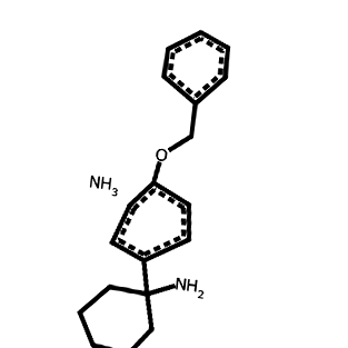 N.NC1(c2ccc(OCc3ccccc3)cc2)CCCCC1